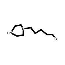 [O]CCCCCN1CCNCC1